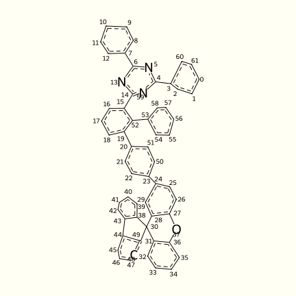 c1ccc(-c2nc(-c3ccccc3)nc(-c3cccc(-c4ccc(-c5ccc6c(c5)C5(c7ccccc7O6)c6ccccc6-c6ccccc65)cc4)c3-c3ccccc3)n2)cc1